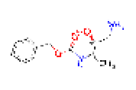 CC(NC(=O)OCc1ccccc1)[C@@H](O)CN